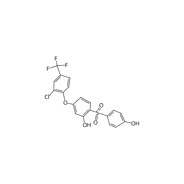 O=S(=O)(c1ccc(O)cc1)c1ccc(Oc2ccc(C(F)(F)F)cc2Cl)cc1O